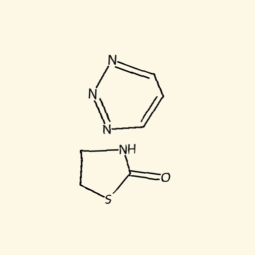 O=C1NCCS1.c1cnnnc1